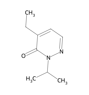 CCc1ccnn(C(C)C)c1=O